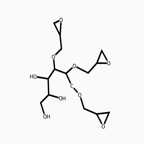 OCC(O)C(O)C(OCC1CO1)C(COCC1CO1)OCC1CO1